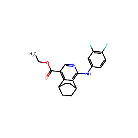 CCOC(=O)c1cnc(Nc2ccc(F)c(F)c2)c2c1C1CCC2CC1